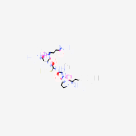 CC(C)C[C@H](NC(=O)[C@@H]1CCCN1C(=O)[C@@H](N)CCC(=O)O)C(=O)N[C@@H](CS)C(=O)N[C@@H](CC(N)=O)C(=O)N[C@@H](CCC(N)=O)C(=O)O